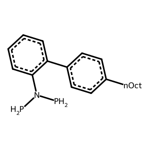 CCCCCCCCc1ccc(-c2ccccc2N(P)P)cc1